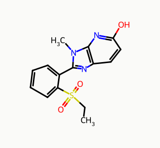 CCS(=O)(=O)c1ccccc1-c1nc2ccc(O)nc2n1C